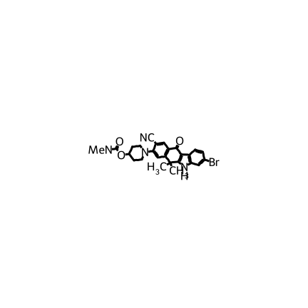 CNC(=O)OC1CCN(c2cc3c(cc2C#N)C(=O)c2c([nH]c4cc(Br)ccc24)C3(C)C)CC1